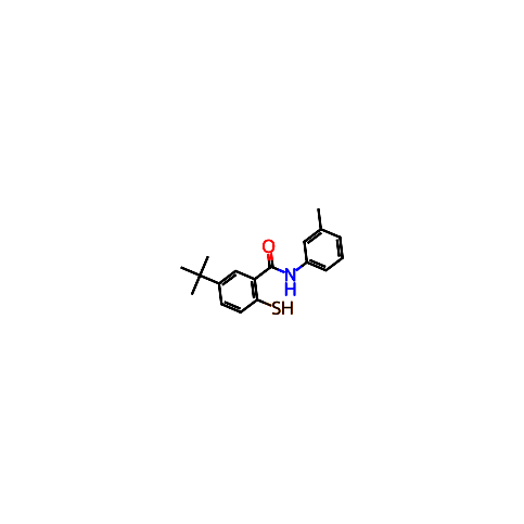 Cc1cccc(NC(=O)c2cc(C(C)(C)C)ccc2S)c1